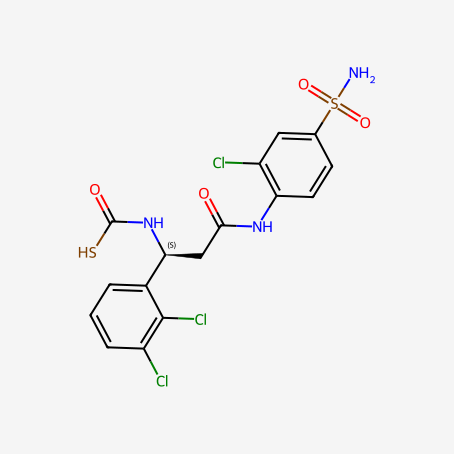 NS(=O)(=O)c1ccc(NC(=O)C[C@H](NC(=O)S)c2cccc(Cl)c2Cl)c(Cl)c1